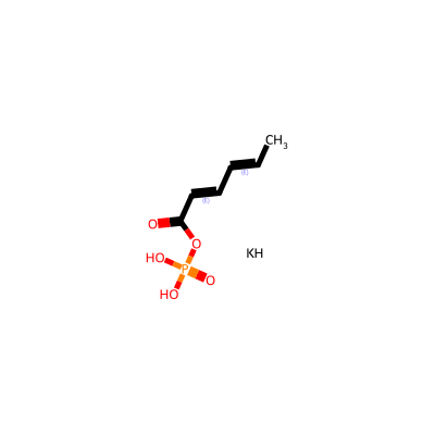 C/C=C/C=C/C(=O)OP(=O)(O)O.[KH]